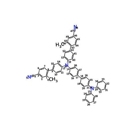 Cc1cc(C#N)ccc1-c1ccc(N(c2ccc(-c3ccc(N(c4ccccc4)c4ccccc4)cc3)cc2)c2ccc(-c3ccc(C#N)cc3C)cc2)cc1